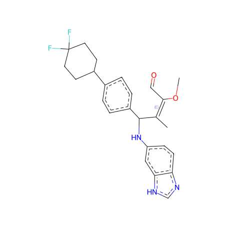 CO/C(C=O)=C(\C)C(Nc1ccc2nc[nH]c2c1)c1ccc(C2CCC(F)(F)CC2)cc1